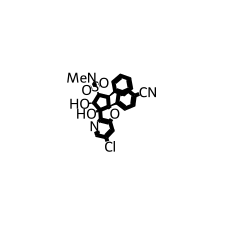 CNS(=O)(=O)[C@H]1[C@@H](O)[C@@]2(O)c3ncc(Cl)cc3O[C@@]2(c2ccc(C#N)cc2)[C@@H]1c1ccccc1